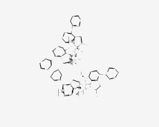 C[SiH2][Zr]([CH3])([CH3])([CH]1C(C)=Cc2c(-c3ccccc3)cccc21)([CH]1C(C)=Cc2c(-c3ccccc3)cccc21)[C](C)(C)CCCC[Si](C)(C)[Zr]([CH3])([CH3])([SiH2]C)([CH]1C(C)=Cc2c(-c3ccccc3)cccc21)[CH]1C(C)=Cc2c(-c3ccccc3)cccc21